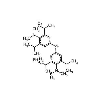 B.CC(C)c1cc(Pc2cc(C(C)C)c(N(C)C)c(C(C)C)c2)cc(C(C)C)c1N(C)C